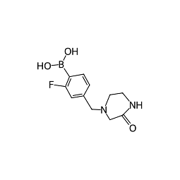 O=C1CN(Cc2ccc(B(O)O)c(F)c2)CCN1